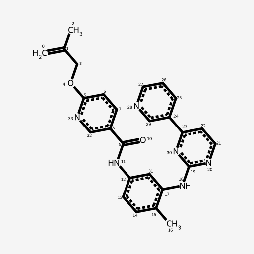 C=C(C)COc1ccc(C(=O)Nc2ccc(C)c(Nc3nccc(-c4cccnc4)n3)c2)cn1